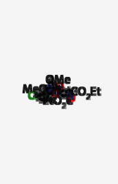 CCOC(=O)On1c(C(=O)OCC)cc2cc(NC(=O)C(CCOC)n3cc(OC)c(-c4cc(Cl)ccc4C(C)=O)cc3=O)ccc21